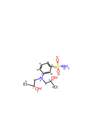 CCC(O)CN(CC(O)CC)c1cccc(S(N)(=O)=O)c1